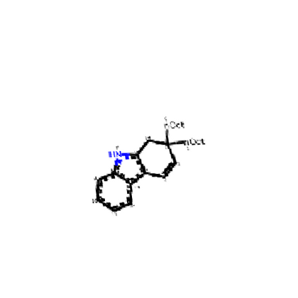 CCCCCCCCC1(CCCCCCCC)C=Cc2c([nH]c3ccccc23)C1